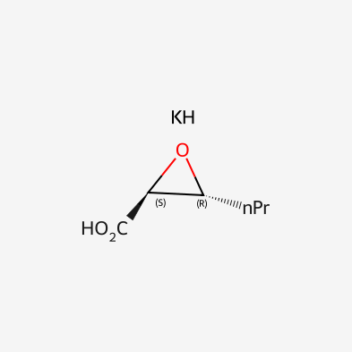 CCC[C@H]1O[C@@H]1C(=O)O.[KH]